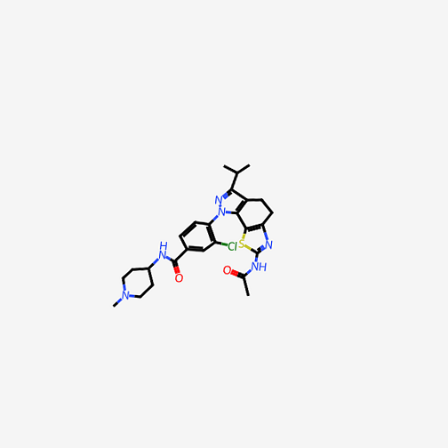 CC(=O)Nc1nc2c(s1)-c1c(c(C(C)C)nn1-c1ccc(C(=O)NC3CCN(C)CC3)cc1Cl)CC2